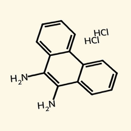 Cl.Cl.Nc1c(N)c2ccccc2c2ccccc12